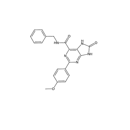 COc1ccc(-c2nc(C(=O)NCc3ccccc3)c3[nH]c(=O)[nH]c3n2)cc1